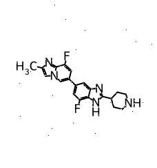 Cc1cn2cc(-c3cc(F)c4[nH]c(C5CCNCC5)nc4c3)cc(F)c2n1